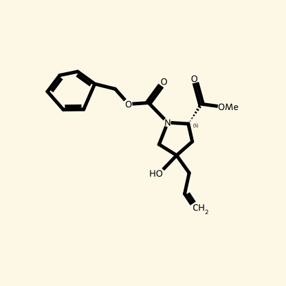 C=CCC1(O)C[C@@H](C(=O)OC)N(C(=O)OCc2ccccc2)C1